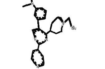 CN(C)c1cccc(-c2cnc(-c3ccncc3)nc2C2CCN(CC(C)(C)C)CC2)c1